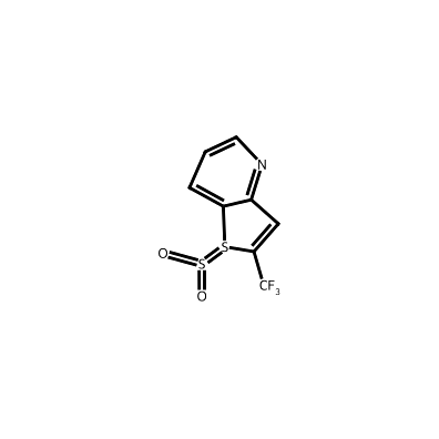 O=S(=O)=S1C(C(F)(F)F)=Cc2ncccc21